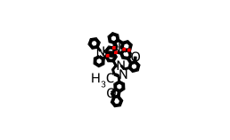 CC1=C(c2ccc3c(c2)oc2ccccc23)N=C(c2cccc3oc4ccc(-c5ccc6c(c5)c5ccccc5n6-c5ccccc5)cc4c23)N=C(c2cccc(-n3c4ccccc4c4ccccc43)c2)C1